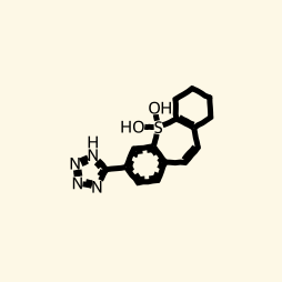 OS1(O)C2=C(C=Cc3ccc(-c4nnn[nH]4)cc31)CCCC2